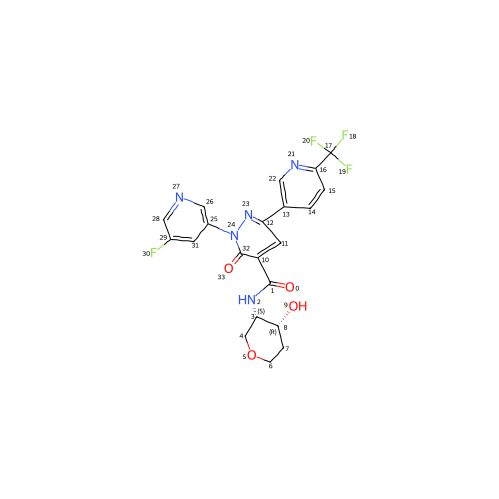 O=C(N[C@H]1COCC[C@H]1O)c1cc(-c2ccc(C(F)(F)F)nc2)nn(-c2cncc(F)c2)c1=O